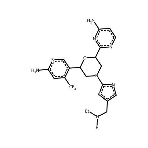 CCN(CC)Cc1cnc(N2CC(c3nccc(N)n3)OC(c3cnc(N)cc3C(F)(F)F)C2)s1